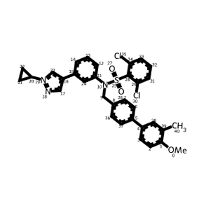 COc1ccc(-c2ccc(CN(c3cccc(-c4cnn(C5CC5)c4)c3)S(=O)(=O)c3c(Cl)cccc3Cl)cc2)cc1C